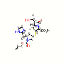 C=CCOC(=O)N1C[C@@H](SC2=C(C(=O)O)N3C(=O)[C@H]([C@@H](C)O)[C@H]3[C@H]2C)C[C@@H]1C(C)c1ncc[nH]1